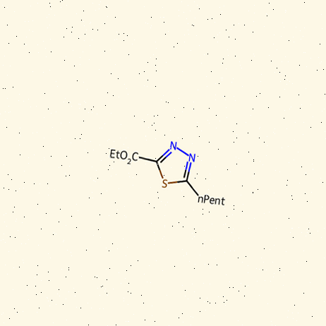 CCCCCc1nnc(C(=O)OCC)s1